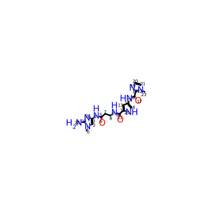 Cn1cc(NC(=O)CCNC(=O)c2cc(NC(=O)c3nccn3C)c[nH]2)nc1N